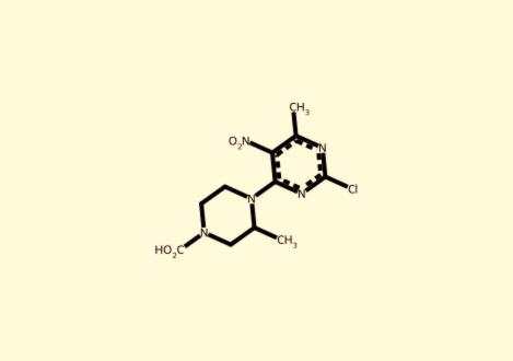 Cc1nc(Cl)nc(N2CCN(C(=O)O)CC2C)c1[N+](=O)[O-]